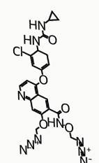 [N-]=[N+]=NCONC(=O)c1cc2c(OC3=CCC(NC(=O)NC4CC4)C(Cl)=C3)ccnc2cc1OCN=[N+]=[N-]